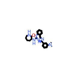 CN(C)c1cccc(-c2nc3c4ccccc4nc(N[C@@H]4CCCCNC4=O)n3n2)c1